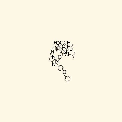 CC(C)(C)OC(=O)N1CCN(Cc2ccc3nc(-c4ccc(OCc5ccccc5)cc4)n(COCC[Si](C)(C)C)c3n2)CC1